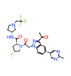 CC(=O)c1nn(CC(=O)N2C[C@H](F)C[C@H]2C(=O)NC2CCN(CC(F)(F)F)C2)c2ccc(-c3cnc(C)nc3)cc12